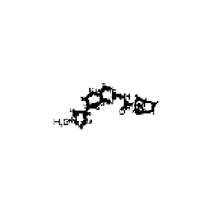 CN1C2CCC1CN(C(=O)Nc1ncc3ccc(-c4cnn(C)c4)cc3n1)C2